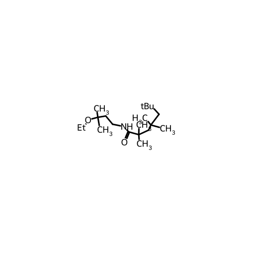 CCOC(C)(C)CCNC(=O)C(C)(C)CC(C)(C)CC(C)(C)C